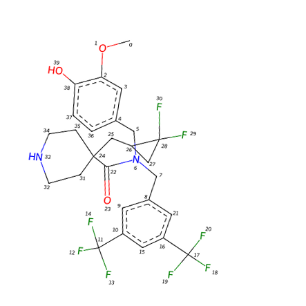 COc1cc(CN(Cc2cc(C(F)(F)F)cc(C(F)(F)F)c2)C(=O)C2(CC3CC3(F)F)CCNCC2)ccc1O